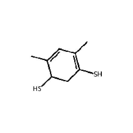 CC1=CC(C)=C(S)CC1S